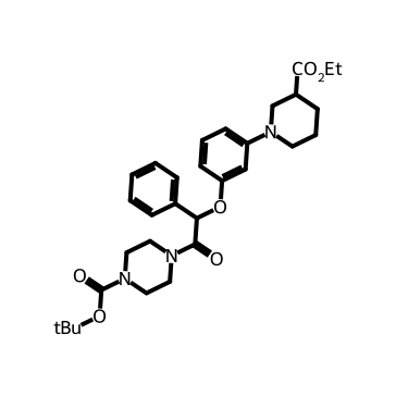 CCOC(=O)C1CCCN(c2cccc(OC(C(=O)N3CCN(C(=O)OC(C)(C)C)CC3)c3ccccc3)c2)C1